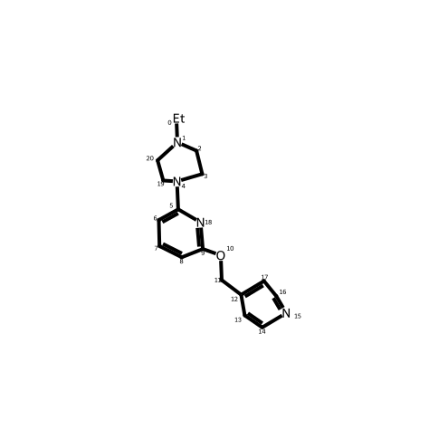 CCN1CCN(c2cccc(OCc3ccncc3)n2)CC1